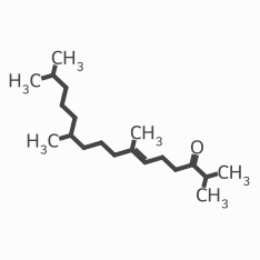 C/C(=C\CCC(=O)C(C)C)CCCC(C)CCCC(C)C